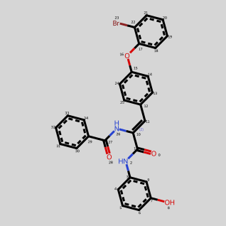 O=C(Nc1cccc(O)c1)/C(=C/c1ccc(Oc2ccccc2Br)cc1)NC(=O)c1ccccc1